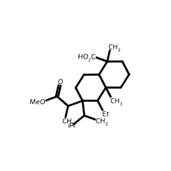 CCC1C2(C)CCCC(C)(C(=O)O)C2CCC1(C(C)C(=O)OC)C(C)C(C)C